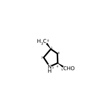 C[C@@H]1CN[C@H](C=O)C1